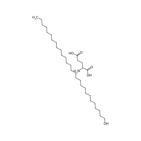 CCCCCCCCCCCCCCCCCCCCCCCCCCCCO.NC(CCC(=O)O)C(=O)O